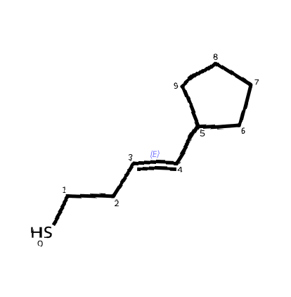 SCC/C=C/C1CCCC1